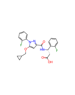 O=C(O)C[C@H](NC(=O)c1cc(OCC2CC2)n(-c2ccccc2F)n1)c1ccccc1F